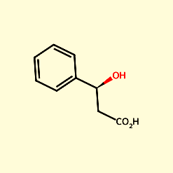 O=C(O)C[C@H](O)c1ccccc1